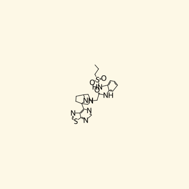 CCCS(=O)(=O)Nc1ccccc1NC(=O)CN1CC2CCC(c3ncnc4scnc34)(C1)N2